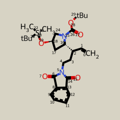 C=CC(CCN1C(=O)c2ccccc2C1=O)[C@@H]1C[C@@H](O[Si](C)(C)C(C)(C)C)CN1C(=O)OC(C)(C)C